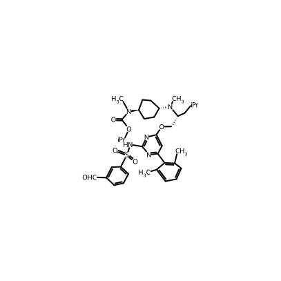 Cc1cccc(C)c1-c1cc(OC[C@@H](CC(C)C)N(C)[C@H]2CC[C@H](N(C)C(=O)OC(C)C)CC2)nc(NS(=O)(=O)c2cccc(C=O)c2)n1